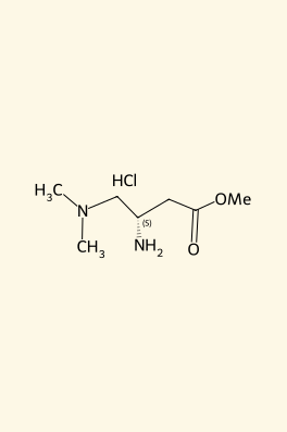 COC(=O)C[C@H](N)CN(C)C.Cl